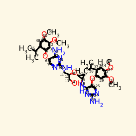 COc1cc(Oc2cnc(NCC(CO)OC3CC3Nc3nc(N)ncc3Oc3cc(OC)c(OC)cc3C(C)C)nc2N)c(C(C)C)cc1OC